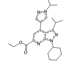 CCOC(=O)c1cc(-c2cnn(C(C)C)c2)c2c(C(C)C)nn(C3CCCCC3)c2n1